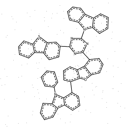 c1ccc(-n2c3ccccc3c3cccc(-c4cccc5c4oc4cccc(-c6nc(-c7ccc8c(c7)sc7ccccc78)nc(-n7c8ccccc8c8ccccc87)n6)c45)c32)cc1